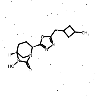 CC1CC(Cc2nnc([C@@H]3CC[C@@H]4CN3C(=O)N4O)o2)C1